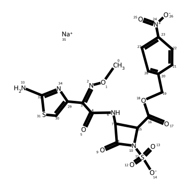 CON=C(C(=O)NC1C(=O)N(S(=O)(=O)[O-])C1C(=O)OCc1ccc([N+](=O)[O-])cc1)c1csc(N)n1.[Na+]